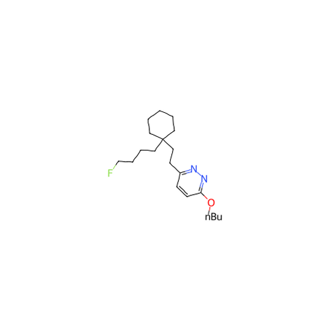 CCCCOc1ccc(CCC2(CCCCF)CCCCC2)nn1